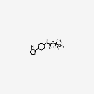 CC(C)(C)OC(=O)NC1CCC(C2=NCCN2)CC1